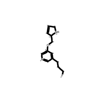 FCCCc1cncc(OCC2C=CCN2)c1